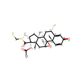 CCC(=O)O[C@]1(C(=O)SCF)[C@H](C)C[C@H]2C3C[C@H](F)C4=CC(=O)C=C[C@]4(C)[C@@]34O[C@H]4C[C@@]21C